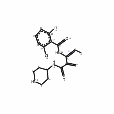 C=C(C(=O)NC1CCNCC1)/C(=C\C)NC(=O)c1c(Cl)cccc1Cl